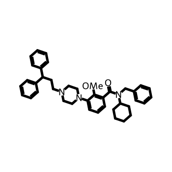 COc1c(C(=O)N(Cc2ccccc2)C2CCCCC2)cccc1N1CCN(CCC(c2ccccc2)c2ccccc2)CC1